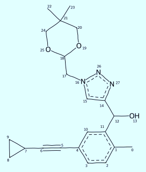 Cc1ccc(C#CC2CC2)cc1C(O)c1cn(CC2OCC(C)(C)CO2)nn1